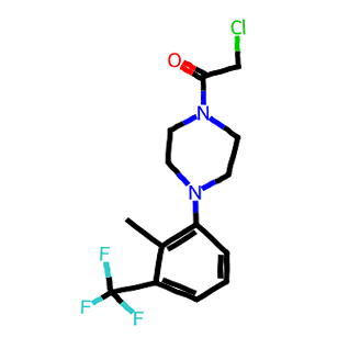 Cc1c(N2CCN(C(=O)CCl)CC2)cccc1C(F)(F)F